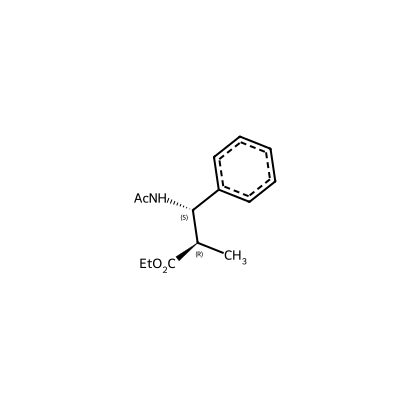 CCOC(=O)[C@H](C)[C@H](NC(C)=O)c1ccccc1